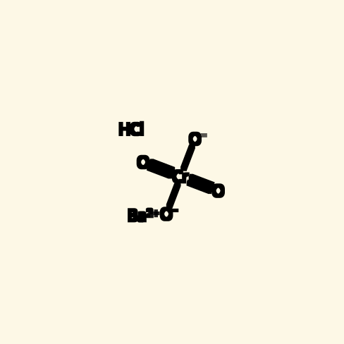 Cl.[Ba+2].[O]=[Cr](=[O])([O-])[O-]